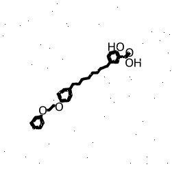 O=C(O)c1cc(CCCCCCCCc2ccc(OCCOc3ccccc3)cc2)ccc1O